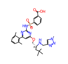 Cc1cccc(C)c1-c1cc(OC[C@@H](CC(C)(C)C)NCc2cn(C)nn2)nc(NS(=O)(=O)c2cccc(C(=O)O)c2)n1